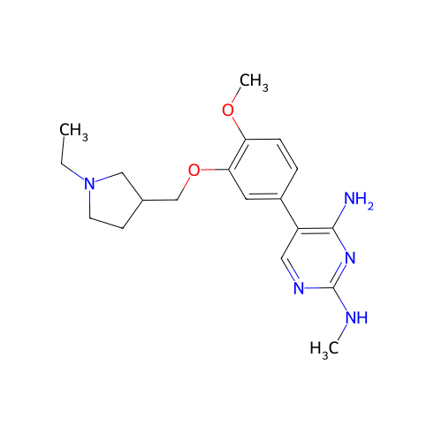 CCN1CCC(COc2cc(-c3cnc(NC)nc3N)ccc2OC)C1